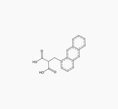 O=C(O)C(Cc1cccc2cc3ccccc3cc12)C(=O)O